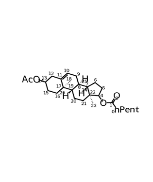 CCCCCC(=O)OC1CC[C@H]2[C@@H]3CC=C4CC(OC(C)=O)CC[C@]4(C)[C@H]3CC[C@]12C